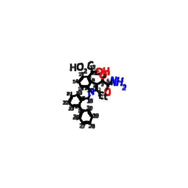 CCc1c(C(=O)C(N)=O)c2c(C(O)C(=O)O)cccc2n1Cc1ccccc1-c1ccccc1